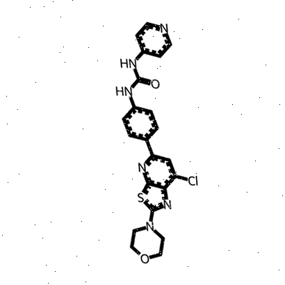 O=C(Nc1ccncc1)Nc1ccc(-c2cc(Cl)c3nc(N4CCOCC4)sc3n2)cc1